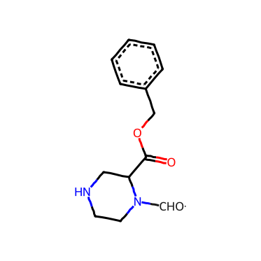 O=[C]N1CCNCC1C(=O)OCc1ccccc1